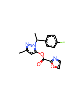 Cc1cc(OC(=O)c2ncco2)n(C(C)c2ccc(F)cc2)n1